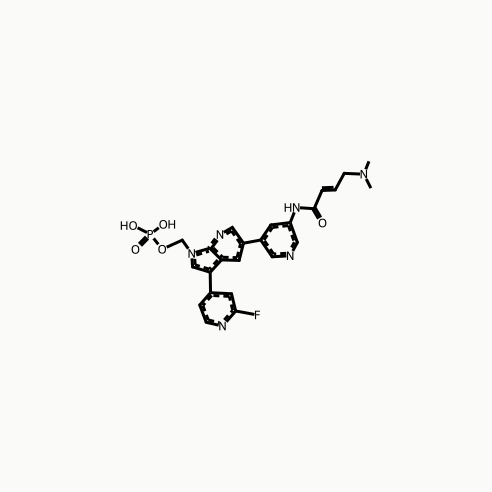 CN(C)CC=CC(=O)Nc1cncc(-c2cnc3c(c2)c(-c2ccnc(F)c2)cn3COP(=O)(O)O)c1